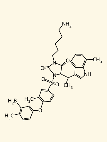 Bc1cc(Oc2ccc(S(=O)(=O)N3C(=O)N(CCCCCN)C(=O)C3C(C)c3c[nH]c4c(C)cccc34)cc2C)ccc1C